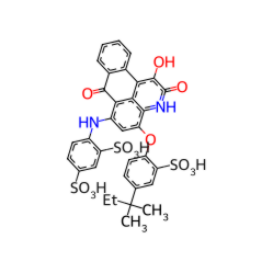 CCC(C)(C)c1ccc(Oc2cc(Nc3ccc(S(=O)(=O)O)cc3S(=O)(=O)O)c3c4c(c(O)c(=O)[nH]c24)-c2ccccc2C3=O)c(S(=O)(=O)O)c1